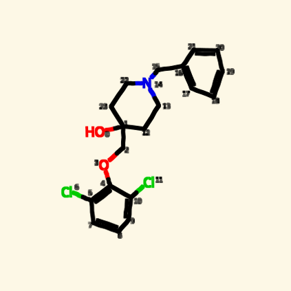 OC1(COc2c(Cl)cccc2Cl)CCN(Cc2ccccc2)CC1